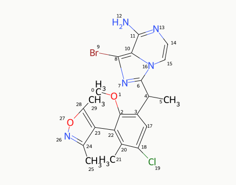 COc1c(C(C)c2nc(Br)c3c(N)nccn23)cc(Cl)c(C)c1-c1c(C)noc1C